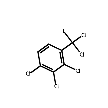 Clc1ccc(C(Cl)(Cl)I)c(Cl)c1Cl